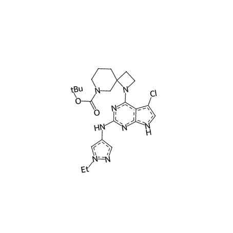 CCn1cc(Nc2nc(N3CCC34CCCN(C(=O)OC(C)(C)C)C4)c3c(Cl)c[nH]c3n2)cn1